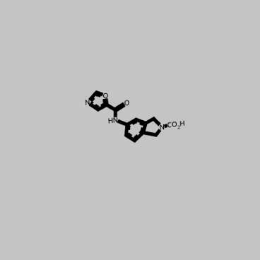 O=C(Nc1ccc2c(c1)CN(C(=O)O)C2)c1cnco1